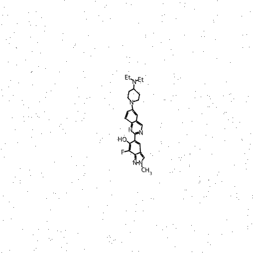 CCN(CC)C1CCN(c2ccc3nc(-c4cc5cn(C)nc5c(F)c4O)ncc3c2)CC1